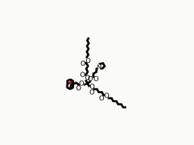 CCCCCCCCOC(=O)CCCC(=O)OCC(COC(=O)CCCC(=O)OCCCCCCCC)(COC(=O)CCCN1CCCC1)COC(=O)CC12CC3CC(CC(C3)C1)C2